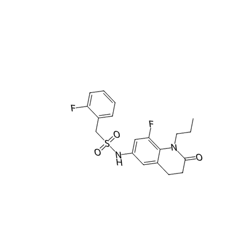 CCCN1C(=O)CCc2cc(NS(=O)(=O)Cc3ccccc3F)cc(F)c21